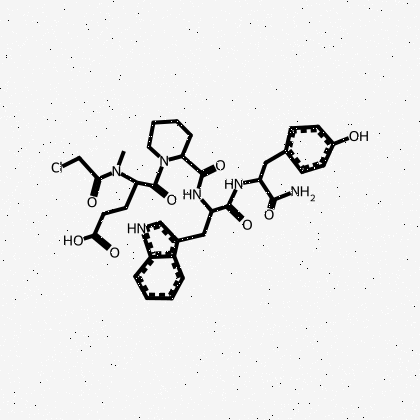 CN(C(=O)CCl)C(CCC(=O)O)C(=O)N1CCCCC1C(=O)NC(Cc1c[nH]c2ccccc12)C(=O)NC(Cc1ccc(O)cc1)C(N)=O